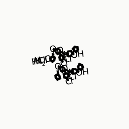 Cl.Cl.O.O=C1COC(CCN2CCC(O)(c3ccccc3)CC2)(c2ccc(Cl)c(Cl)c2)CN1Cc1ccccc1.O=C1COC(CCN2CCC(O)(c3ccccc3)CC2)(c2ccc(Cl)c(Cl)c2)CN1Cc1ccccc1